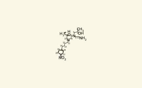 CC(O)CN(CCN)CCN(CCCCc1ccc([N+](=O)[O-])cc1)CC(C)O